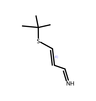 CC(C)(C)S/C=C/C=N